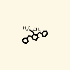 CCC(C)c1c(Cc2ccccc2)[c]ccc1Cc1ccccc1